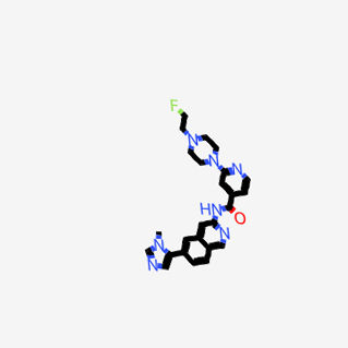 Cn1cncc1-c1ccc2cnc(NC(=O)c3ccnc(N4CCN(CCF)CC4)c3)cc2c1